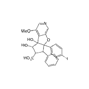 COc1cncc2c1C1(O)C(O)C(C(=O)O)C(c3ccccc3)C1(c1ccc(I)cc1)O2